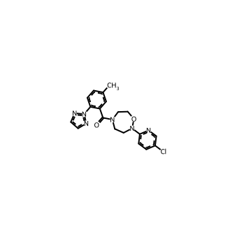 Cc1ccc(-n2nccn2)c(C(=O)N2CCON(c3ccc(Cl)cn3)CC2)c1